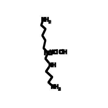 Cl.Cl.Cl.NCCCCCCCNCCCN